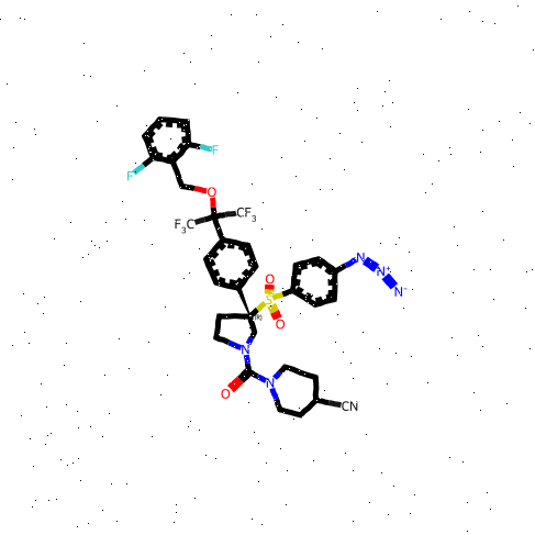 N#CC1CCN(C(=O)N2CC[C@](c3ccc(C(OCc4c(F)cccc4F)(C(F)(F)F)C(F)(F)F)cc3)(S(=O)(=O)c3ccc(N=[N+]=[N-])cc3)C2)CC1